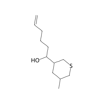 C=CCCCC(O)C1CSCC(C)C1